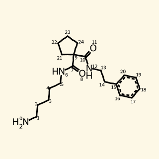 NCCCC[CH]NC(=O)C1(C(=O)NCCc2ccccc2)CCCC1